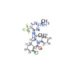 CNc1ncc(C(F)(F)F)c(N[C@H](C)c2cc3cccc(Cl)c3c(=O)n2-c2ccccc2)n1